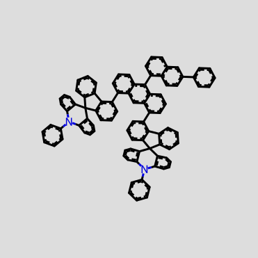 c1ccc(-c2ccc3c(-c4c5cccc(-c6cccc7c6-c6ccccc6C76c7ccccc7N(c7ccccc7)c7ccccc76)c5cc5c(-c6cccc7c6-c6ccccc6C76c7ccccc7N(c7ccccc7)c7ccccc76)cccc45)cccc3c2)cc1